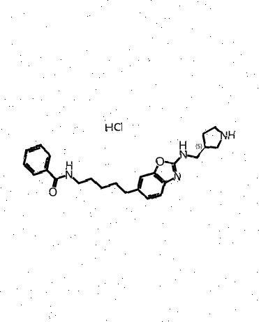 Cl.O=C(NCCCCCc1ccc2nc(NC[C@H]3CCNC3)oc2c1)c1ccccc1